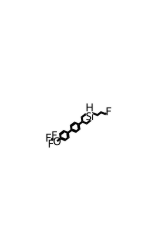 FCCCC[SiH]1CCC(c2ccc(-c3ccc(OC(F)(F)F)cc3)cc2)CC1